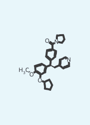 COc1ccc([C@H](Cc2ccncc2)c2ccc(C(=O)N3CCCC3)cc2)cc1OC1CCCC1